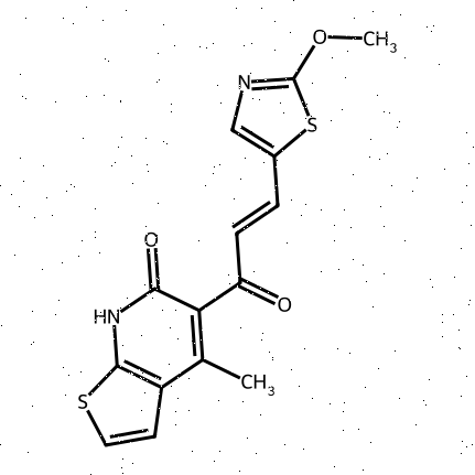 COc1ncc(/C=C/C(=O)c2c(C)c3ccsc3[nH]c2=O)s1